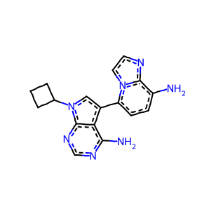 Nc1ncnc2c1c(-c1ccc(N)c3nccn13)cn2C1CCC1